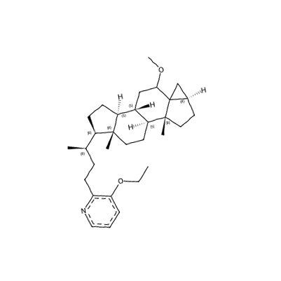 CCOc1cccnc1CC[C@@H](C)[C@H]1CC[C@H]2[C@@H]3CC(OC)C45C[C@H]4CC[C@]5(C)[C@H]3CC[C@]12C